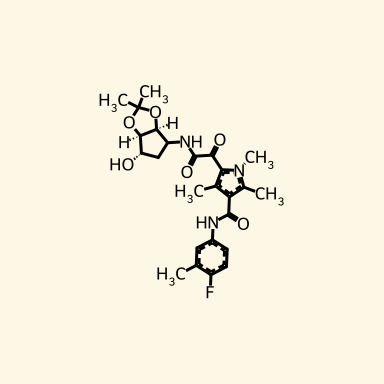 Cc1cc(NC(=O)c2c(C)c(C(=O)C(=O)NC3C[C@H](O)[C@H]4OC(C)(C)O[C@@H]34)n(C)c2C)ccc1F